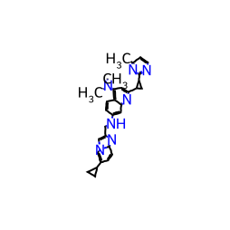 Cc1ccnc(C2CC2c2cc(N(C)C)c3ccc(NCc4cn5cc(C6CC6)ccc5n4)cc3n2)n1